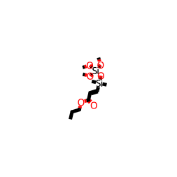 CCCOC(=O)C=C[Si](C)(C)O[Si](OC)(OC)OC